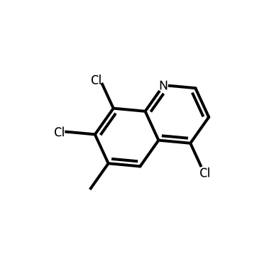 Cc1cc2c(Cl)ccnc2c(Cl)c1Cl